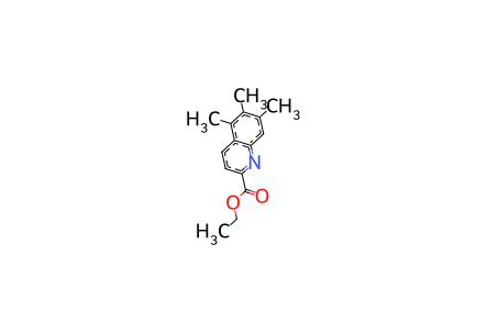 CCOC(=O)c1ccc2c(C)c(C)c(C)cc2n1